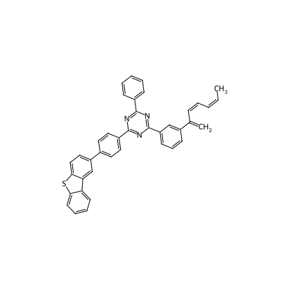 C=C(/C=C\C=C/C)c1cccc(-c2nc(-c3ccccc3)nc(-c3ccc(-c4ccc5sc6ccccc6c5c4)cc3)n2)c1